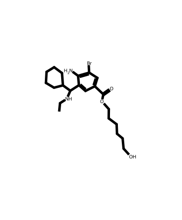 CCNC(c1cc(C(=O)OCCCCCCO)cc(Br)c1N)C1CCCCC1